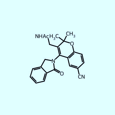 CC(=O)NCC1=C(N2Cc3ccccc3C2=O)c2cc(C#N)ccc2OC1(C)C